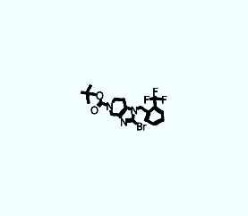 CC(C)(C)OC(=O)N1CCc2c(nc(Br)n2Cc2ccccc2C(F)(F)F)C1